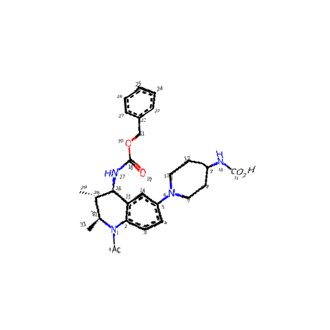 CC(=O)N1c2ccc(N3CCC(NC(=O)O)CC3)cc2[C@H](NC(=O)OCc2ccccc2)[C@@H](C)[C@@H]1C